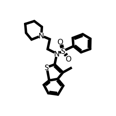 Cc1c(N(CCN2CCCCC2)S(=O)(=O)c2ccccc2)sc2ccccc12